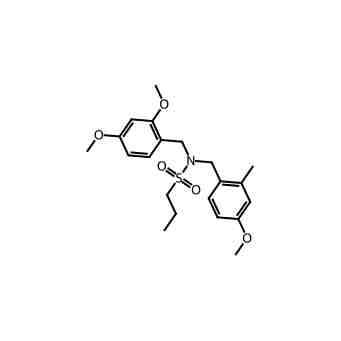 CCCS(=O)(=O)N(Cc1ccc(OC)cc1C)Cc1ccc(OC)cc1OC